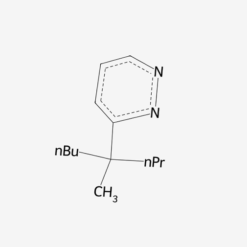 CCCCC(C)(CCC)c1cccnn1